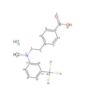 CN(CCc1ccc(C(=O)O)cc1)c1cccc(C(F)(F)F)c1.Cl